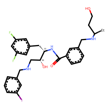 CCC(CCO)NCc1cccc(C(=O)N[C@@H](Cc2cc(F)cc(F)c2)[C@H](O)CNCc2cccc(I)c2)c1